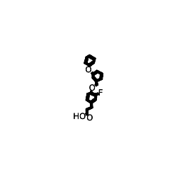 O=C(O)CCc1ccc(OCc2cccc(Oc3ccccc3)c2)c(F)c1